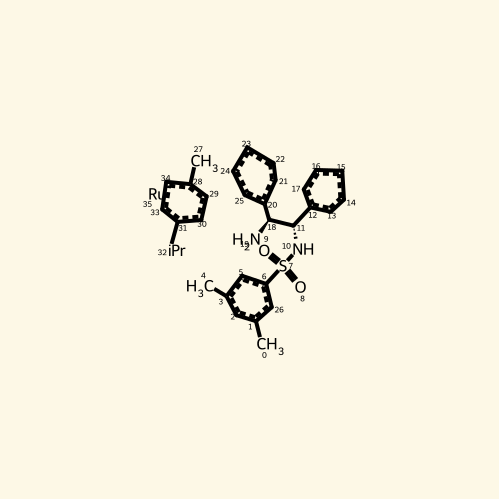 Cc1cc(C)cc(S(=O)(=O)N[C@@H](c2ccccc2)[C@@H](N)c2ccccc2)c1.Cc1ccc(C(C)C)cc1.[Ru]